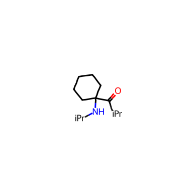 CC(C)NC1(C(=O)C(C)C)CCCCC1